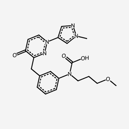 COCCCN(C(=O)O)c1cccc(Cc2nn(-c3cnn(C)c3)ccc2=O)c1